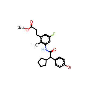 Cc1c(CCC(=O)OC(C)(C)C)cc(F)cc1NC(=O)C(c1ccc(Br)cc1)C1CCCC1